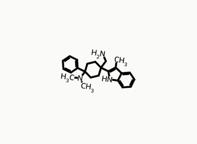 Cc1c(C2(CN)CCC(c3ccccc3)(N(C)C)CC2)[nH]c2ccccc12